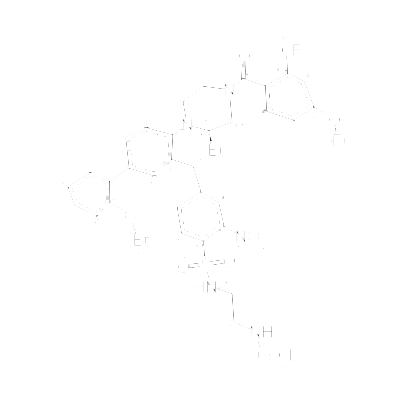 CCOc1ccc(C(=O)N2CCN(c3ccc(-c4ccccc4OCC)cc3Cc3ccc(S(=O)(=O)NCCNC(=O)O)c([N+](=O)[O-])c3)[C@H](CC)C2)c(C(F)(F)F)c1